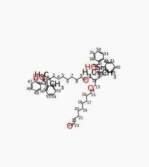 CC(C)(CCCCCCCOCC(COCCCCCCCCC=O)CC(C)(C)[Si](O)(c1ccccc1)c1ccccc1)[Si](O)(c1ccccc1)c1ccccc1